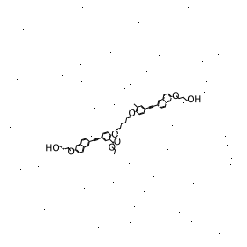 CCOC(=O)c1cc(C#Cc2ccc3cc(OCCCO)ccc3c2)ccc1OCCCCCCOc1ccc(C#Cc2ccc3cc(OCCCO)ccc3c2)cc1C